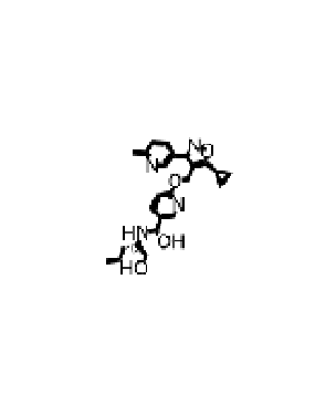 CCC[C@@H](CO)NC(O)c1ccc(OCc2c(-c3ccc(C)nc3)noc2C2CC2)nc1